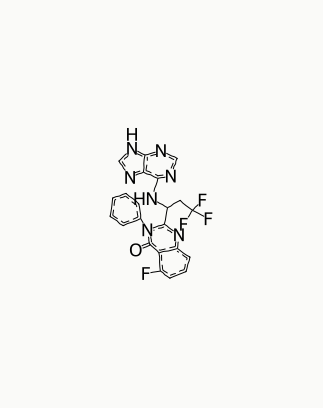 O=c1c2c(F)cccc2nc(C(CC(F)(F)F)Nc2ncnc3[nH]cnc23)n1-c1ccccc1